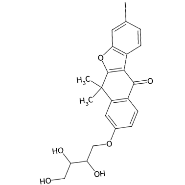 CC1(C)c2cc(OCC(O)C(O)CO)ccc2C(=O)c2c1oc1cc(I)ccc21